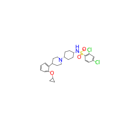 O=S(=O)(N[C@H]1CC[C@@H](N2CCC(c3ccccc3OC3CC3)CC2)CC1)c1ccc(Cl)cc1Cl